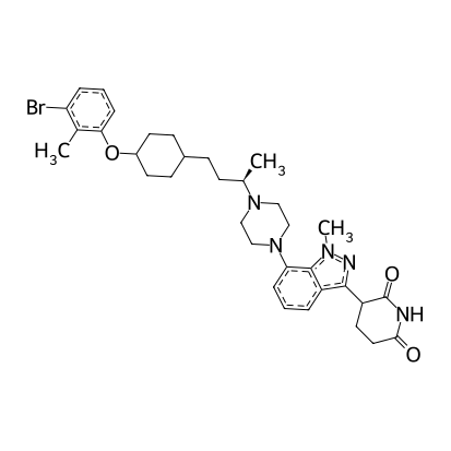 Cc1c(Br)cccc1OC1CCC(CC[C@@H](C)N2CCN(c3cccc4c(C5CCC(=O)NC5=O)nn(C)c34)CC2)CC1